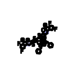 O=C1C(=O)c2c(F)cc(F)cc2/C1=C/c1cc2sc3c(c2s1)OC(C(=O)OCc1ccccc1)(C(=O)OCc1ccccc1)c1c-3sc2cc(/C=C3\C(=O)C(=O)c4c(F)cc(F)cc43)sc12